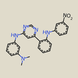 CN(C)c1cccc(Nc2cc(-c3ccccc3Nc3cccc([N+](=O)[O-])c3)ncn2)c1